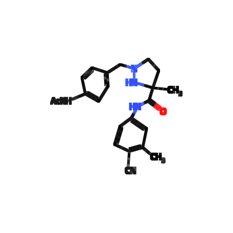 CC(=O)Nc1ccc(CN2CCC(C)(C(=O)Nc3ccc(C#N)c(C)c3)N2)cc1